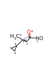 C/C(=C\C(=O)N=O)C1CC1